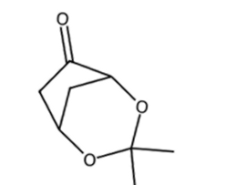 CC1(C)OC2CC(=O)C(C2)O1